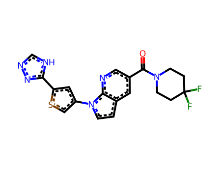 O=C(c1cnc2c(ccn2-c2csc(-c3nnc[nH]3)c2)c1)N1CCC(F)(F)CC1